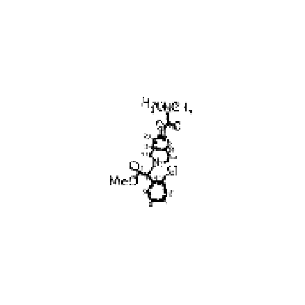 COC(=O)C(c1ccccc1Cl)N1CCc2sc(OC(=O)N(C)C)cc2C1